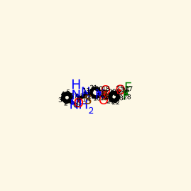 Nc1ccccc1NC(=O)c1nc2c(s1)CN(S(=O)(=O)c1cccc(OC(F)F)c1)CC2